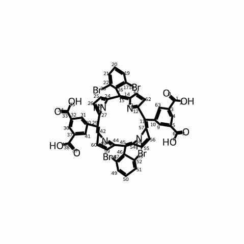 O=C(O)c1cc(C(=O)O)cc(-c2c3nc(c(-c4c(Br)cccc4Br)c4ccc([nH]4)c(-c4cc(C(=O)O)cc(C(=O)O)c4)c4nc(c(-c5c(Br)cccc5Br)c5ccc2[nH]5)C=C4)C=C3)c1